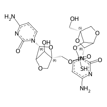 Nc1ccn([C@@H]2O[C@@]3(COP(=O)(S)OC4C5OC[C@]4(CO)O[C@H]5n4ccc(N)nc4=O)COC2C3O)c(=O)n1